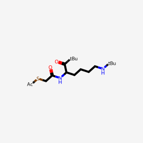 CC(=O)SCC(=O)NC(CCCCNC(C)(C)C)C(=O)C(C)(C)C